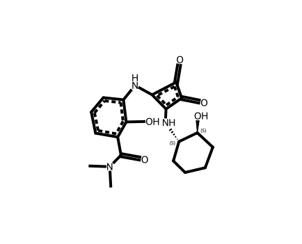 CN(C)C(=O)c1cccc(Nc2c(N[C@H]3CCCC[C@@H]3O)c(=O)c2=O)c1O